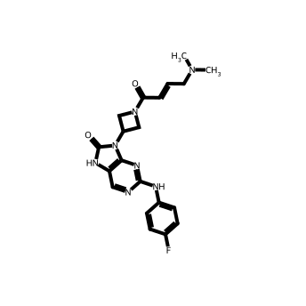 CN(C)CC=CC(=O)N1CC(n2c(=O)[nH]c3cnc(Nc4ccc(F)cc4)nc32)C1